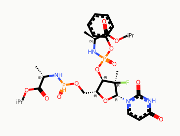 CC(C)OC(=O)[C@H](C)N[PH](=O)OC[C@H]1O[C@@H](n2ccc(=O)[nH]c2=O)[C@](C)(F)[C@@H]1OP(=O)(N[C@@H](C)C(=O)OC(C)C)Oc1ccccc1